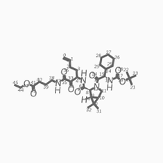 C=CCCC(NC(=O)[C@@H]1[C@@H]2C(CN1C(=O)[C@@H](NC(=O)OC(C)(C)C)C1CCCCC1)C2(C)C)C(=O)C(=O)NCCCC(=O)OCC